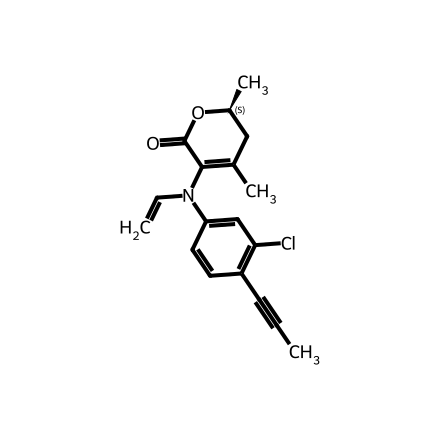 C=CN(C1=C(C)C[C@H](C)OC1=O)c1ccc(C#CC)c(Cl)c1